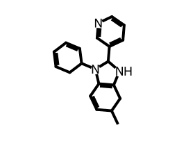 CC1C=CC2=C(C1)NC(c1cccnc1)N2C1C=CC=CC1